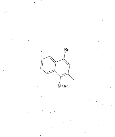 CC(=O)Nc1c(C)cc(Br)c2ccccc12